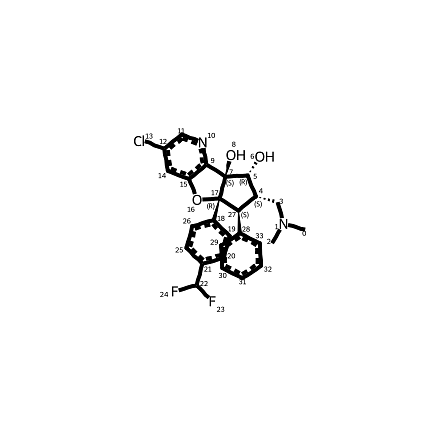 CN(C)C[C@H]1[C@@H](O)[C@@]2(O)c3ncc(Cl)cc3O[C@@]2(c2ccc(C(F)F)cc2)[C@@H]1c1ccccc1